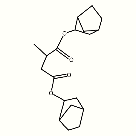 CC(CC(=O)OC1CC2CCC1C2)C(=O)OC1CC2CCC1C2